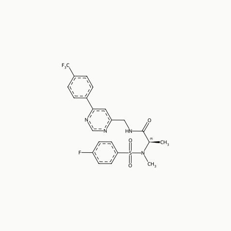 C[C@H](C(=O)NCc1cc(-c2ccc(C(F)(F)F)cc2)ncn1)N(C)S(=O)(=O)c1ccc(F)cc1